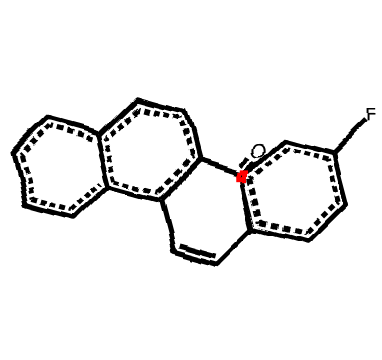 O=Cc1ccc2ccccc2c1/C=C\c1ccc(F)cc1